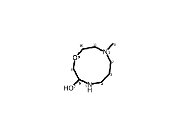 CN1CCCNC(O)COCC1